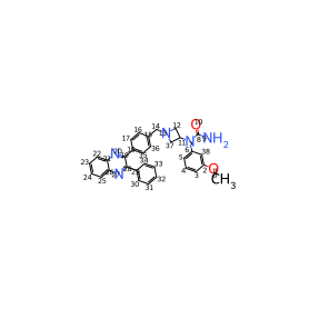 COc1cccc(N(C(N)=O)C2CN(Cc3ccc(-c4nc5ccccc5nc4-c4ccccc4)cc3)C2)c1